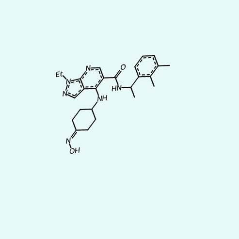 CCn1ncc2c(NC3CCC(=NO)CC3)c(C(=O)NC(C)c3cccc(C)c3C)cnc21